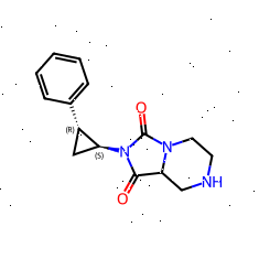 O=C1C2CNCCN2C(=O)N1[C@H]1C[C@@H]1c1ccccc1